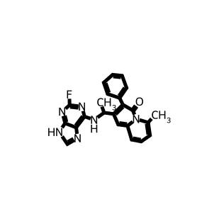 Cc1cccc2cc(C(C)Nc3nc(F)nc4[nH]cnc34)c(-c3ccccc3)c(=O)n12